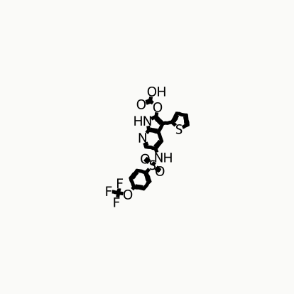 O=C(O)Oc1[nH]c2ncc(NS(=O)(=O)c3ccc(OC(F)(F)F)cc3)cc2c1-c1cccs1